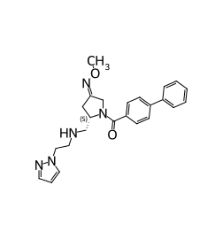 CON=C1C[C@@H](CNCCn2cccn2)N(C(=O)c2ccc(-c3ccccc3)cc2)C1